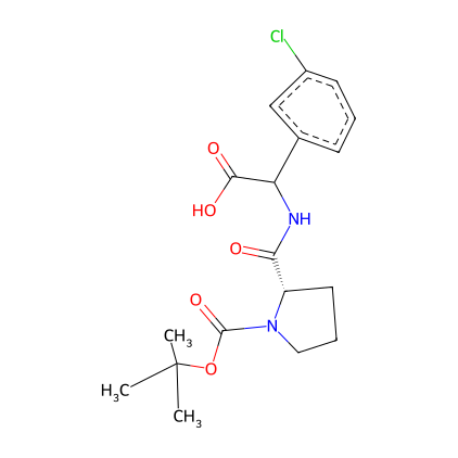 CC(C)(C)OC(=O)N1CCC[C@H]1C(=O)NC(C(=O)O)c1cccc(Cl)c1